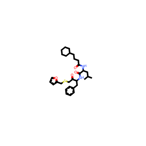 CC(C)CC(NC(=O)CCCC1CCCCC1)C(=O)NC(Cc1ccccc1)C(=O)CSCc1ccco1